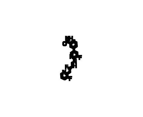 NC(=O)c1cccc(-c2cnc(NCC[C@H](F)Cc3ncccc3F)c(F)c2)c1